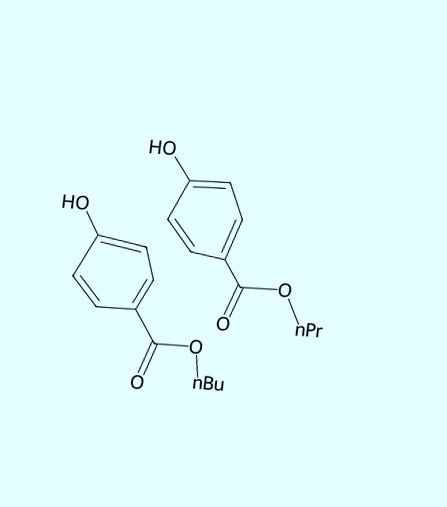 CCCCOC(=O)c1ccc(O)cc1.CCCOC(=O)c1ccc(O)cc1